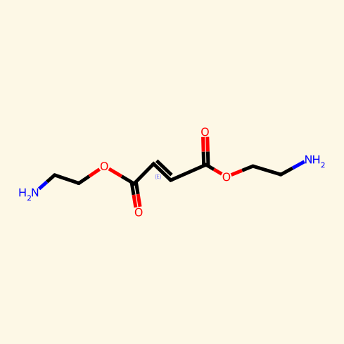 NCCOC(=O)/C=C/C(=O)OCCN